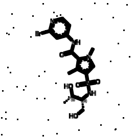 Cc1c(S(=O)(=O)N[C@H](CO)[C@H](C)O)cn(C)c1C(=O)Nc1ccnc(Br)c1